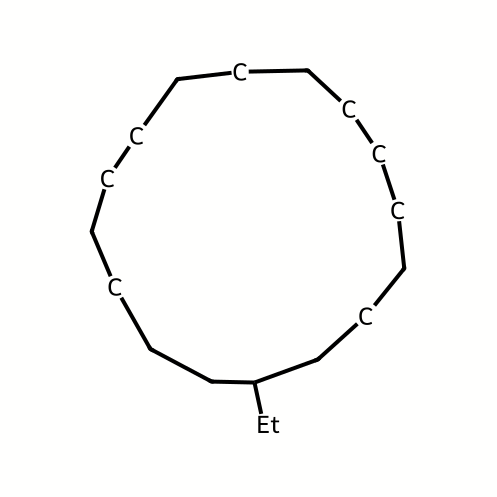 CCC1CCCCCCCCCCCCCCC1